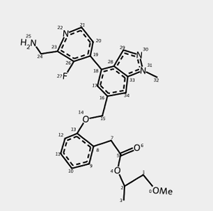 COCC(C)OC(=O)Cc1ccccc1OCc1cc(-c2ccnc(CN)c2F)c2cnn(C)c2c1